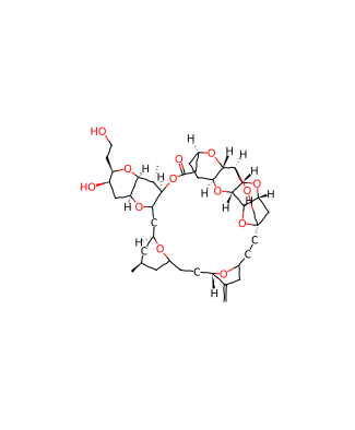 C=C1CC2CC[C@@]34C[C@H]5O[C@H]6[C@@H](O3)[C@H]3O[C@H](CC[C@@H]3O[C@H]6[C@H]5O4)CC(=O)O[C@H]3C(C[C@@H]4C[C@H](C)CC(CC[C@@H]1O2)O4)O[C@H]1C[C@@H](O)[C@@H](CCO)O[C@H]1[C@@H]3C